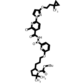 CC(C)(C)OC(=O)N1C(CCCOc2cccc([S+]([O-])NC(=O)c3ccc(-n4ccc(OCCC5(C(F)(F)F)CC5)n4)nc3Cl)n2)CCC1(C)C